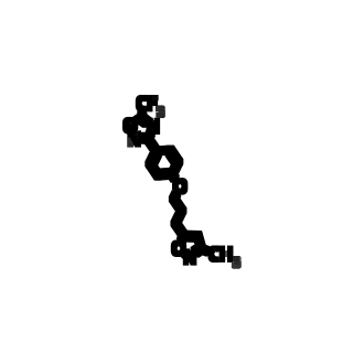 Cc1cc(CCCOc2ccc(-c3noc(C(F)(F)F)n3)cc2)on1